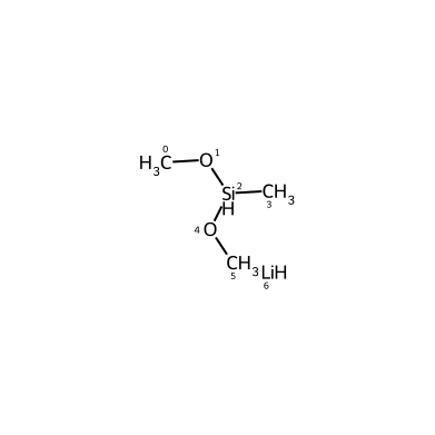 CO[SiH](C)OC.[LiH]